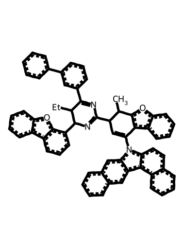 CCC1C(c2cccc(-c3ccccc3)c2)=NC(C2C=C(n3c4cc5ccccc5cc4c4c5ccccc5ccc43)c3c(oc4ccccc34)C2C)=NC1c1cccc2c1oc1ccccc12